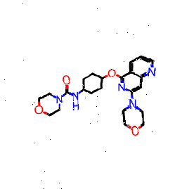 O=C(NC1CCC(Oc2nc(N3CCOCC3)cc3ncccc23)CC1)N1CCOCC1